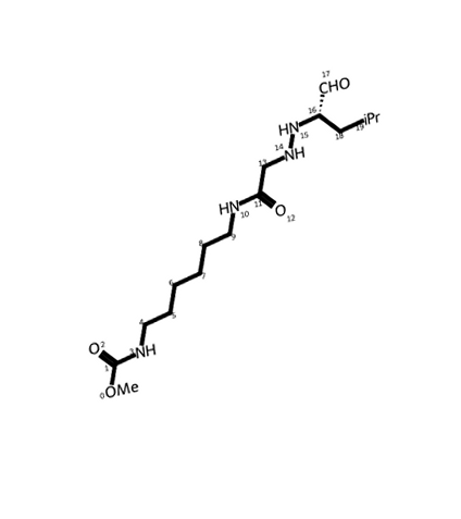 COC(=O)NCCCCCCNC(=O)CNN[C@H](C=O)CC(C)C